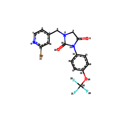 O=C1CN(Cc2ccnc(Br)c2)C(=O)N1c1ccc(OC(F)(F)F)cc1